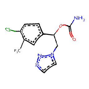 NC(=O)OC(Cn1ccnn1)c1ccc(Cl)c(C(F)(F)F)c1